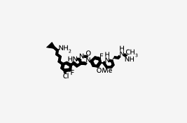 COc1cc(-n2cc3cc(-c4cc(CCC[C@@H](N)C5CC5)cc(Cl)c4F)[nH]c3nc2=O)cc(F)c1[C@@H]1CCC[C@@H](CCNC(C)=N)N1